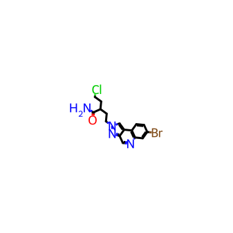 NC(=O)C(CCCl)CCn1cc2c(cnc3cc(Br)ccc32)n1